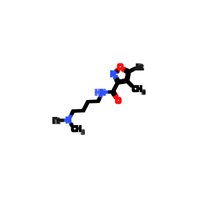 CCc1onc(C(=O)NCCCCN(C)CC)c1C